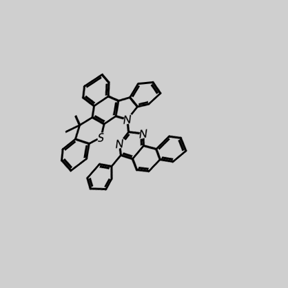 CC1(C)c2ccccc2Sc2c1c1ccccc1c1c3ccccc3n(-c3nc(-c4ccccc4)c4ccc5ccccc5c4n3)c21